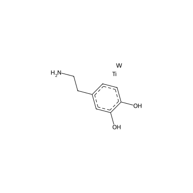 NCCc1ccc(O)c(O)c1.[Ti].[W]